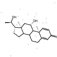 C[C@@H](O)[C@H]1CCC2C3CCC4=CC(=O)C=C[C@]4(C)C3[C@@H](O)C[C@@]21C